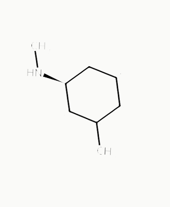 CN[C@H]1CCCC(C)C1